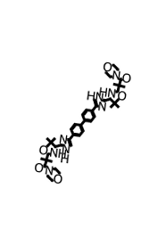 CC(C)(C(=O)N[C@H](c1nc(-c2ccc(-c3ccc(-c4c[nH]c([C@@H](NC(=O)C(C)(C)C(=O)N5CCOCC5)C(C)(C)C)n4)cc3)cc2)c[nH]1)C(C)(C)C)C(=O)N1CCOCC1